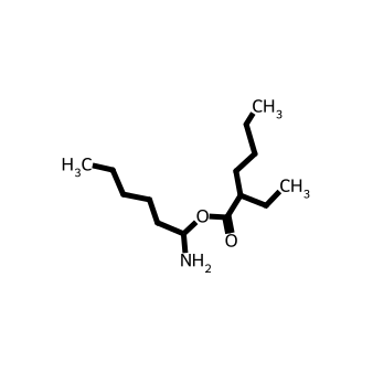 CCCCCC(N)OC(=O)C(CC)CCCC